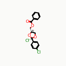 O=C(OC[C@@H]1CO[C@@](Cl)(c2ccc(Cl)cc2)O1)c1ccccc1